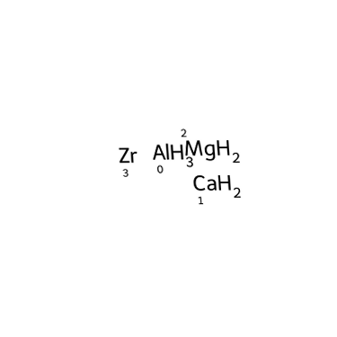 [AlH3].[CaH2].[MgH2].[Zr]